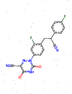 N#Cc1nn(-c2ccc(CC(C#N)c3ccc(F)cc3)c(F)c2)c(=O)[nH]c1=O